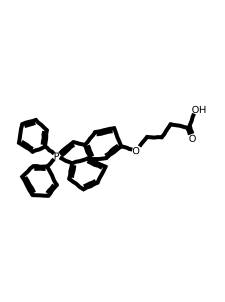 O=C(O)CCCOc1ccc(C=P(c2ccccc2)(c2ccccc2)c2ccccc2)cc1